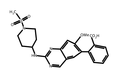 COc1cc2nc(NC3CCN(S(C)(=O)=O)CC3)ncc2cc1-c1ccccc1C(=O)O